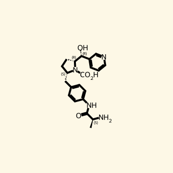 C[C@H](N)C(=O)Nc1ccc(C[C@@H]2CC[C@H]([C@H](O)c3cccnc3)N2C(=O)O)cc1